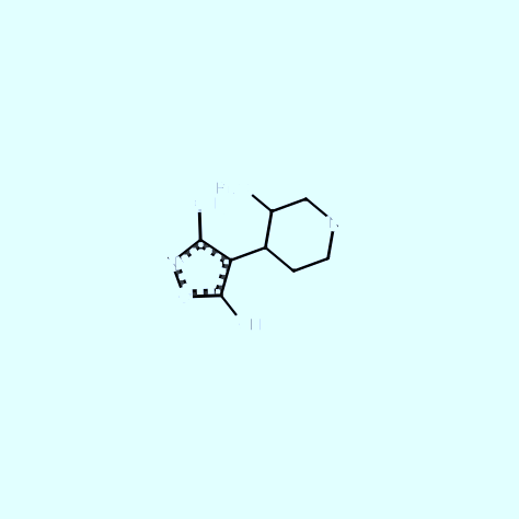 Cc1noc(C)c1C1CCNCC1OCC(C)C